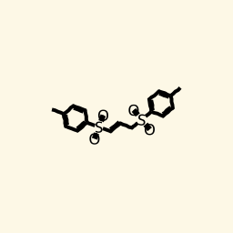 Cc1ccc(S(=O)(=O)/C=C/CS(=O)(=O)c2ccc(C)cc2)cc1